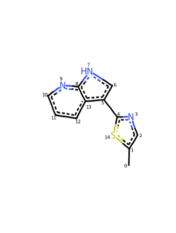 Cc1cnc(-c2c[nH]c3ncccc23)s1